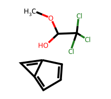 COC(O)C(Cl)(Cl)Cl.c1cc2cc-2c1